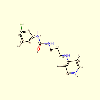 Cc1cc(F)cc(NC(=O)NCCCNc2c(C)cncc2C)c1